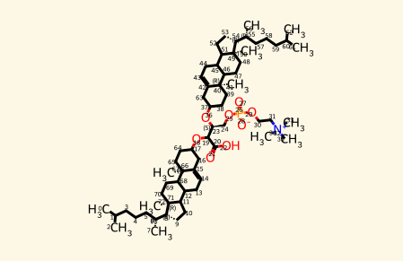 CC(C)CCC[C@@H](C)[C@H]1CCC2C3CC=C4CC(OC(C(=O)O)[C@H](COP(=O)([O-])OCC[N+](C)(C)C)OC5CC[C@@]6(C)C(=CCC7C6CC[C@@]6(C)C7CC[C@@H]6[C@H](C)CCCC(C)C)C5)CC[C@]4(C)C3CC[C@@]21C